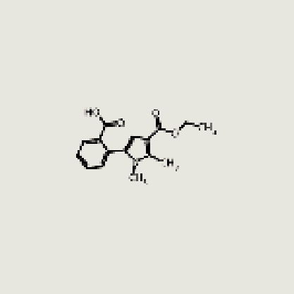 CCOC(=O)c1cc(-c2ccccc2C(=O)O)n(C)c1C